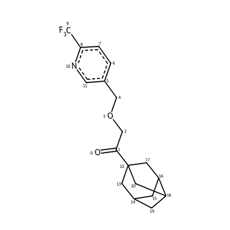 O=C(COCc1ccc(C(F)(F)F)nc1)C12CC3CC(C1)C(C3)C2